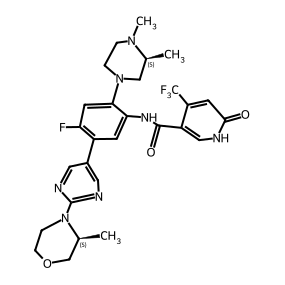 C[C@H]1CN(c2cc(F)c(-c3cnc(N4CCOC[C@@H]4C)nc3)cc2NC(=O)c2c[nH]c(=O)cc2C(F)(F)F)CCN1C